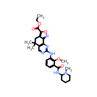 CCOC(=O)c1onc2c1CC(C)(C)c1cnc(Nc3cccc(C(=O)NC4CCCCN4C)c3OC)nc1-2